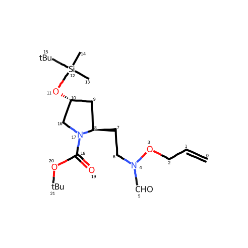 C=CCON(C=O)CC[C@@H]1C[C@@H](O[Si](C)(C)C(C)(C)C)CN1C(=O)OC(C)(C)C